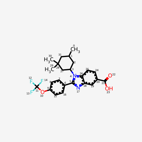 CC1CC(n2c(-c3ccc(OC(F)(F)F)cc3)nc3cc(C(=O)O)ccc32)CC(C)(C)C1